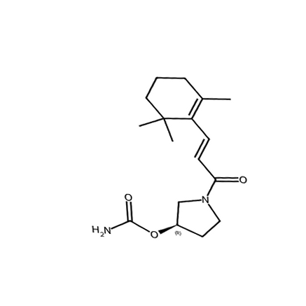 CC1=C(C=CC(=O)N2CC[C@@H](OC(N)=O)C2)C(C)(C)CCC1